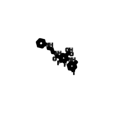 Cc1cc(I)ccc1Nc1c(C(=O)O)cc(C(=O)NCCCNC2CCCCC2)c(F)c1F